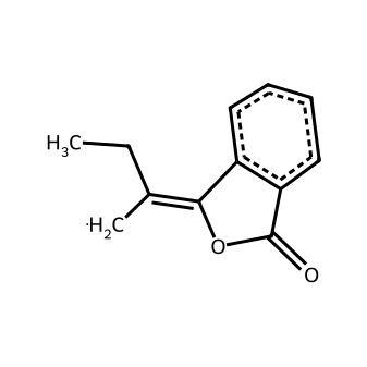 [CH2]C(CC)=C1OC(=O)c2ccccc21